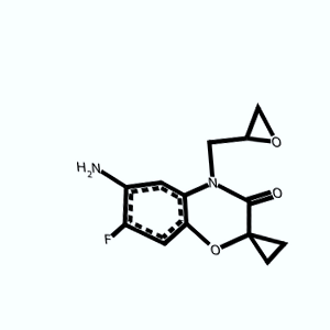 Nc1cc2c(cc1F)OC1(CC1)C(=O)N2CC1CO1